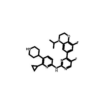 CC(C)N1CCOc2c(F)cc(-c3nc(Nc4ccc(C5CCNCC5)c(C5CC5)n4)ncc3F)cc21